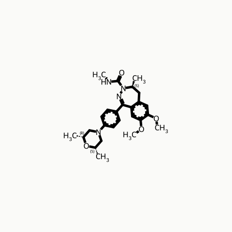 CNC(=O)N1N=C(c2ccc(N3C[C@@H](C)O[C@@H](C)C3)cc2)c2cc(OC)c(OC)cc2C[C@@H]1C